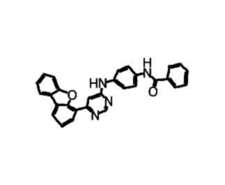 O=C(Nc1ccc(Nc2cc(-c3cccc4c3oc3ccccc34)ncn2)cc1)c1ccccc1